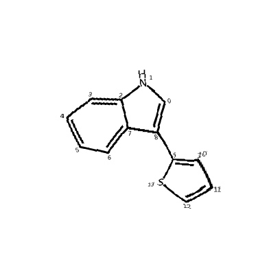 [c]1[nH]c2ccccc2c1-c1cccs1